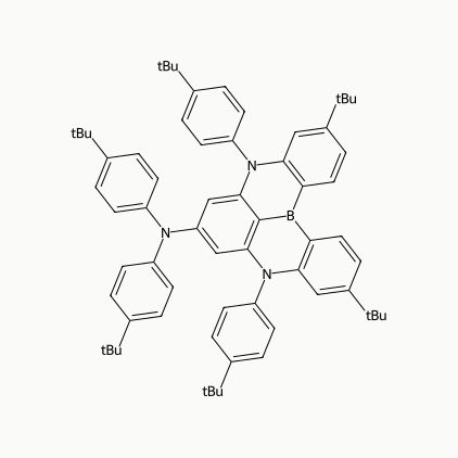 CC(C)(C)c1ccc(N(c2ccc(C(C)(C)C)cc2)c2cc3c4c(c2)N(c2ccc(C(C)(C)C)cc2)c2cc(C(C)(C)C)ccc2B4c2ccc(C(C)(C)C)cc2N3c2ccc(C(C)(C)C)cc2)cc1